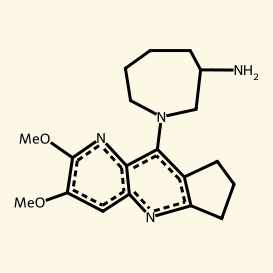 COc1cc2nc3c(c(N4CCCCC(N)C4)c2nc1OC)CCC3